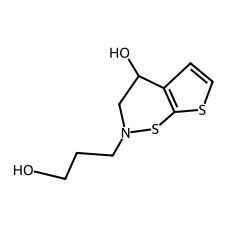 OCCCN1CC(O)c2ccsc2S1